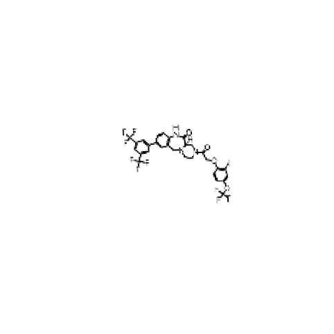 O=C1Nc2ccc(-c3cc(C(F)(F)F)cc(C(F)(F)F)c3)cc2CN2CCN(C(=O)COc3ccc(OC(F)(F)F)cc3I)C[C@@H]12